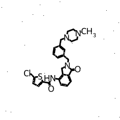 CN1CCN(Cc2cccc(CN3Cc4c(NC(=O)c5ccc(Cl)s5)cccc4C3=O)c2)CC1